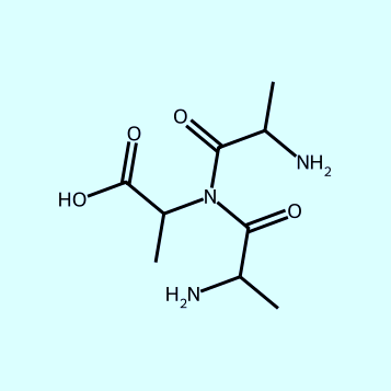 CC(N)C(=O)N(C(=O)C(C)N)C(C)C(=O)O